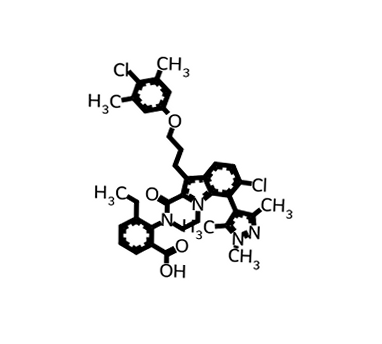 CCc1cccc(C(=O)O)c1N1CCn2c(c(CCCOc3cc(C)c(Cl)c(C)c3)c3ccc(Cl)c(-c4c(C)nn(C)c4C)c32)C1=O